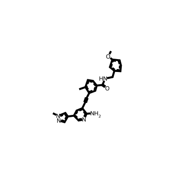 COc1cccc(CNC(=O)c2ccc(C)c(C#Cc3cc(-c4cnn(C)c4)cnc3N)c2)c1